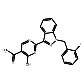 NC(=O)c1cnc(-c2nn(Cc3ccccc3F)c3ccccc23)nc1O